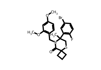 COc1ccc(CN2C(=O)C3(CCC3)SCC2(C)c2cc(Br)ccc2F)c(OC)c1